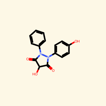 O=C1C(O)C(=O)N(c2ccc(O)cc2)N1c1ccccc1